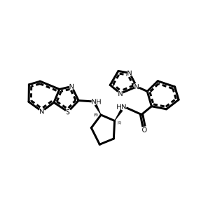 O=C(N[C@H]1CCC[C@H]1Nc1nc2cccnc2s1)c1ccccc1-n1nccn1